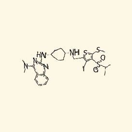 CSc1sc(CN[C@H]2CC[C@@H](Nc3nc(N(C)C)c4ccccc4n3)CC2)c(I)c1S(=O)(=O)C(C)C